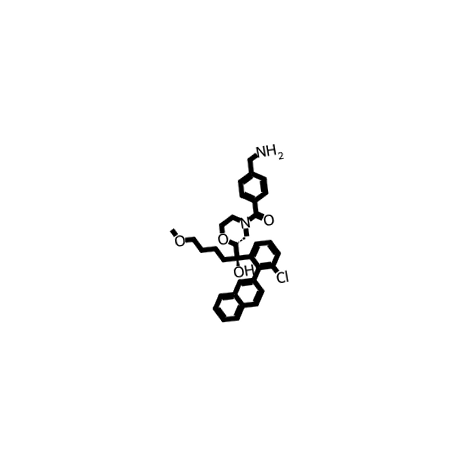 COCCCC[C@@](O)(c1cccc(Cl)c1-c1ccc2ccccc2c1)[C@H]1CN(C(=O)c2ccc(CN)cc2)CCO1